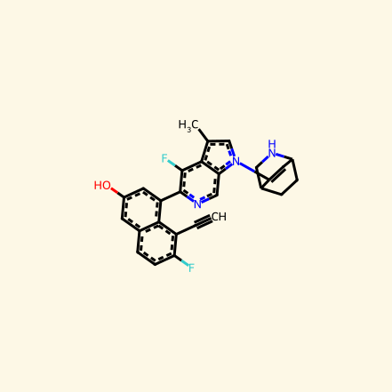 C#Cc1c(F)ccc2cc(O)cc(-c3ncc4c(c(C)cn4C4=CC5CCC4CN5)c3F)c12